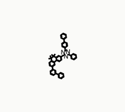 CC1(C)c2ccc(-c3cccc(-c4ccccc4)c3)cc2-c2ccc(-c3nc(-c4ccccc4)nc(-c4ccc(-c5ccccc5)cc4)n3)cc2C1(C)C